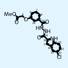 COC(=O)COc1cccc(C(=O)NNC(=O)c2cc3cc(Cl)ccc3[nH]2)c1